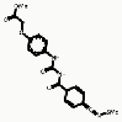 COC(=O)COc1ccc(NC(=O)NC(=O)C2C=CC(=C=NSC)C=C2)cc1